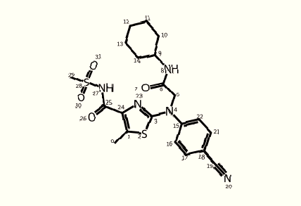 Cc1sc(N(CC(=O)NC2CCCCC2)c2ccc(C#N)cc2)nc1C(=O)NS(C)(=O)=O